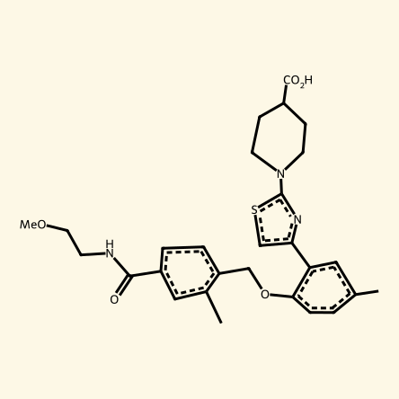 COCCNC(=O)c1ccc(COc2ccc(C)cc2-c2csc(N3CCC(C(=O)O)CC3)n2)c(C)c1